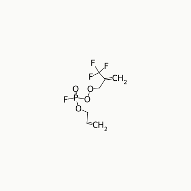 C=CCOP(=O)(F)OOCC(=C)C(F)(F)F